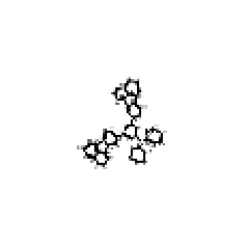 c1ccc(N(c2cc(-c3ccc4c(c3)-c3cccc5cccc-4c35)cc(-c3ccc4c(c3)-c3cccc5cccc-4c35)c2)c2ccccn2)cc1